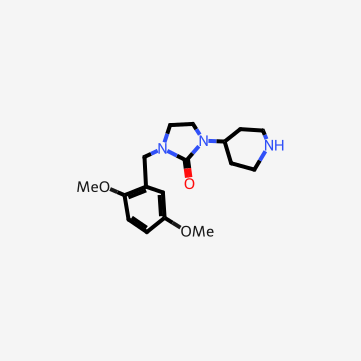 COc1ccc(OC)c(CN2CCN(C3CCNCC3)C2=O)c1